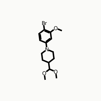 COc1cc(N2CCC(C(OC)OC)CC2)ccc1Br